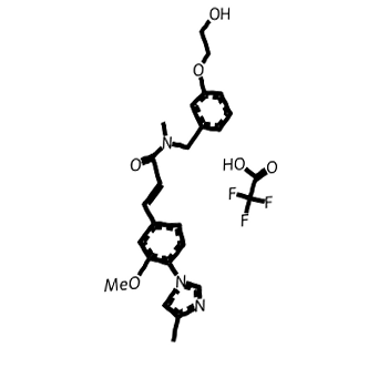 COc1cc(C=CC(=O)N(C)Cc2cccc(OCCO)c2)ccc1-n1cnc(C)c1.O=C(O)C(F)(F)F